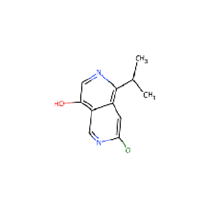 CC(C)c1ncc(O)c2cnc(Cl)cc12